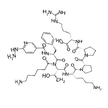 CC(O)[C@@H](C(=O)N[C@@H](CCCCN)C(=O)N1CCC[C@H]1C(=O)N1CCC[C@H]1C(=O)N[C@@H](CCCNC(=N)N)C(=O)O)N(C(=O)CCCCCN)C(=O)[C@H](Cc1ccccc1)NC(=O)c1ccc(NN)nc1